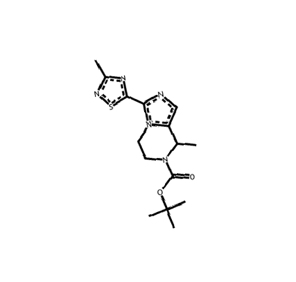 Cc1nsc(-c2ncc3n2CCN(C(=O)OC(C)(C)C)C3C)n1